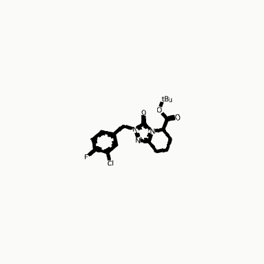 CC(C)(C)OC(=O)C1CCCc2nn(Cc3ccc(F)c(Cl)c3)c(=O)n21